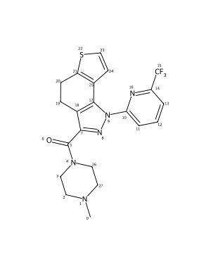 CN1CCN(C(=O)c2nn(-c3cccc(C(F)(F)F)n3)c3c2CCc2sccc2-3)CC1